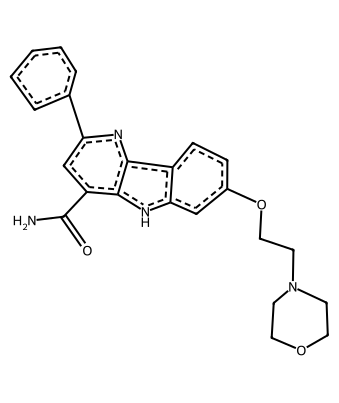 NC(=O)c1cc(-c2ccccc2)nc2c1[nH]c1cc(OCCN3CCOCC3)ccc12